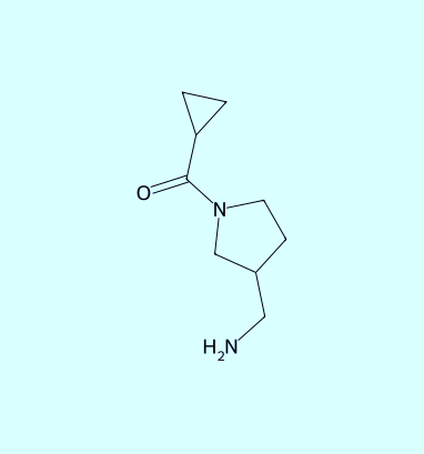 NCC1CCN(C(=O)C2CC2)C1